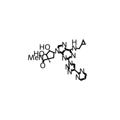 CNC(=O)[C@@]1(C)C[C@@H](n2cnc3c(NCC4CC4)nc(-n4cc(-c5ncccn5)nn4)nc32)C(O)C1O